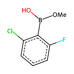 COB(O)c1c(F)cccc1Cl